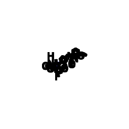 CCOc1cccc2c1nc(COC)n2Cc1ccc2c(c1)COc1cc(F)ccc1/C2=C(/C)c1noc(=O)[nH]1